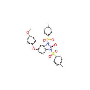 COc1ccc(Oc2ccc3c(c2)n(S(=O)(=O)c2ccc(C)cc2)c(=O)n3S(=O)(=O)c2ccc(C)cc2)cc1